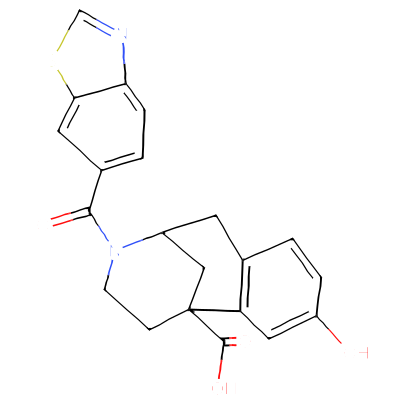 O=C(c1ccc2ncsc2c1)N1CCC2(C(=O)O)CC1Cc1ccc(O)cc12